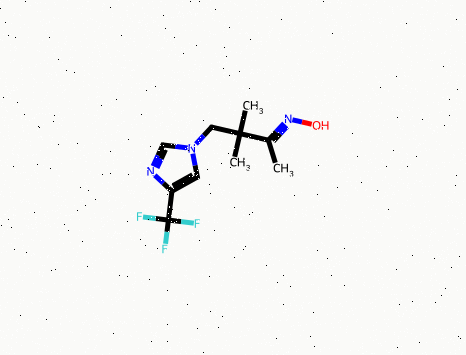 CC(=NO)C(C)(C)Cn1cnc(C(F)(F)F)c1